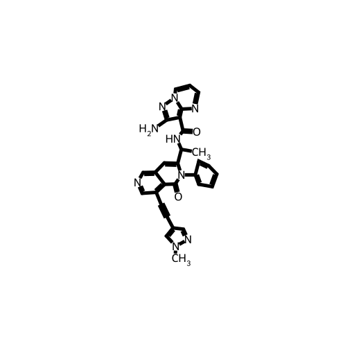 CC(NC(=O)c1c(N)nn2cccnc12)c1cc2cncc(C#Cc3cnn(C)c3)c2c(=O)n1-c1ccccc1